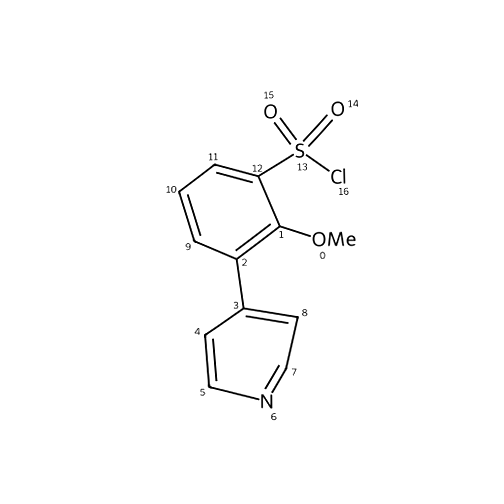 COc1c(-c2ccncc2)cccc1S(=O)(=O)Cl